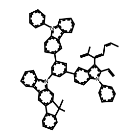 C=Cc1c(/C(=C/C=C\C)C(=C)C)c2cc(-c3cc(-c4ccc5c(c4)c4ccccc4n5-c4ccccc4)cc(-n4c5ccccc5c5cc6c(cc54)C(C)(C)c4ccccc4-6)c3)ccc2n1-c1ccccc1